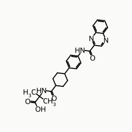 CC(C)(NC(=O)C1CCC(c2ccc(NC(=O)c3cnc4ccccc4n3)cc2)CC1)C(=O)O